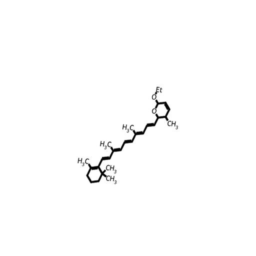 CCOC1C=CC(C)C(/C=C/C=C(C)/C=C/C=C(C)/C=C/C2=C(C)CCCC2(C)C)O1